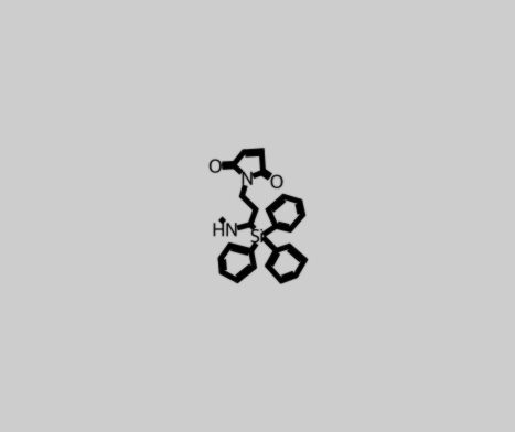 CNC(CCN1C(=O)C=CC1=O)[Si](c1ccccc1)(c1ccccc1)c1ccccc1